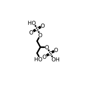 O=S(=O)(O)OCC(CO)OS(=O)(=O)O